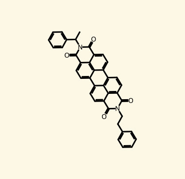 CC(c1ccccc1)N1C(=O)c2ccc3c4ccc5c6c(ccc(c7ccc(c2c37)C1=O)c64)C(=O)N(CCc1ccccc1)C5=O